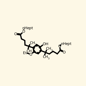 CCCCCCCOC(=O)CCCC(C)(C)c1cc(OCC)c(C(C)(C)CCCC(=O)OCCCCCCC)cc1O